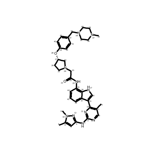 Cc1cnc(Nc2cc(C)n(C)n2)nc1-c1c[nH]c2c(NC(=O)CN3CC[C@H](Oc4ccc(CN5CCN(C)CC5)cc4)C3)cccc12